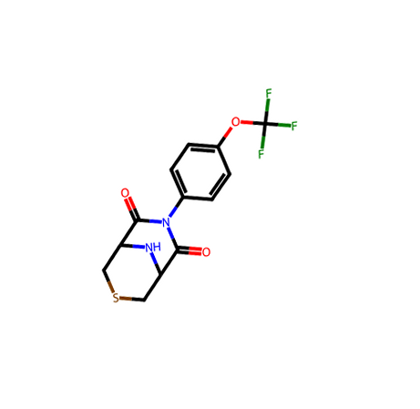 O=C1C2CSCC(N2)C(=O)N1c1ccc(OC(F)(F)F)cc1